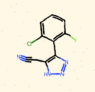 N#Cc1[nH]nnc1-c1c(F)cccc1Cl